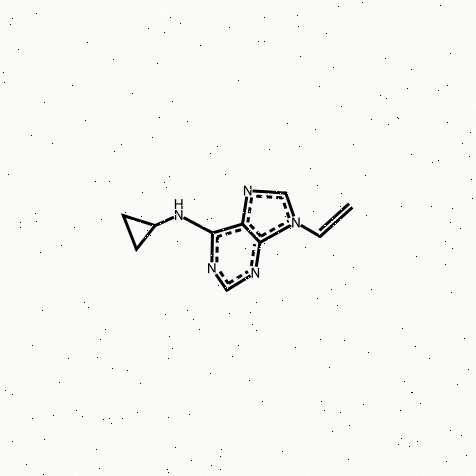 C=Cn1cnc2c(NC3CC3)ncnc21